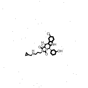 C[C@@]12Cc3c([nH]c4ccc(Cl)cc34)[C@@H](c3cccc(O)c3)N1C(=O)N(CCCNCC1CC1)C2=O